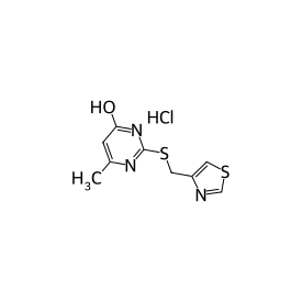 Cc1cc(O)nc(SCc2cscn2)n1.Cl